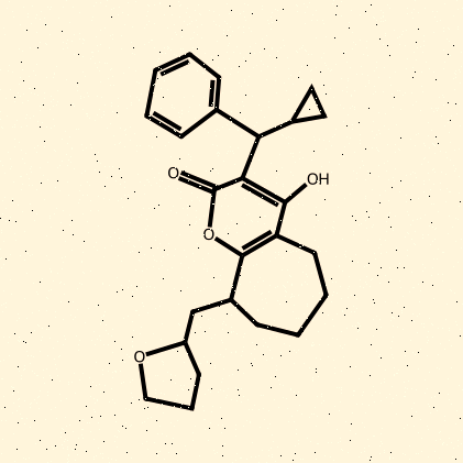 O=c1oc2c(c(O)c1C(c1ccccc1)C1CC1)CCCCC2CC1CCCO1